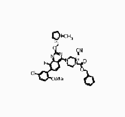 COc1ccc(Cl)cc1-c1ccc2c(N3CCN(C(=O)OCc4ccccc4)[C@@H](CC#N)C3)nc(OC[C@@H]3CCCN3C)nc2c1F